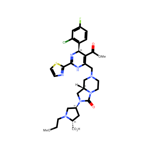 COCCN1C[C@@H](N2C[C@@H]3CN(CC4=C(C(=O)OC)[C@H](c5ccc(F)cc5Cl)N=C(c5nccs5)N4)CCN3C2=O)C[C@@H]1C(=O)O